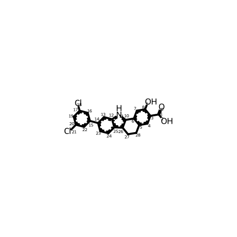 O=C(O)c1cc2c(cc1O)-c1[nH]c3cc(-c4cc(Cl)cc(Cl)c4)ccc3c1CC2